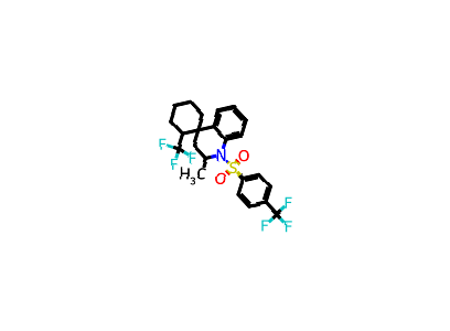 CC1CC2(CCCCC2C(F)(F)F)c2ccccc2N1S(=O)(=O)c1ccc(C(F)(F)F)cc1